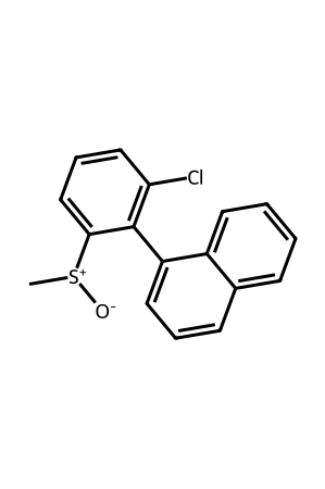 C[S+]([O-])c1cccc(Cl)c1-c1cccc2ccccc12